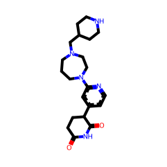 O=C1CCC(c2ccnc(N3CCCN(CC4CCNCC4)CC3)c2)C(=O)N1